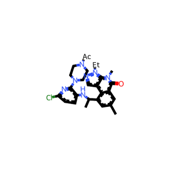 CCn1ncc2c3c(C(C)Nc4ccc(Cl)nc4N4CCN(C(C)=O)CC4)cc(C)cc3c(=O)n(C)c21